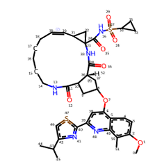 COc1ccc2c(OC3CC4C(=O)NCCCCC/C=C\C5CC5(C(=O)NS(=O)(=O)C5CC5)NC(=O)[C@@H]4C3)cc(-c3nc(C(C)C)cs3)nc2c1C